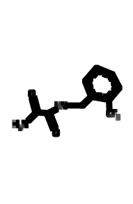 NC(=O)C(=O)NCc1ccccc1C(F)(F)F